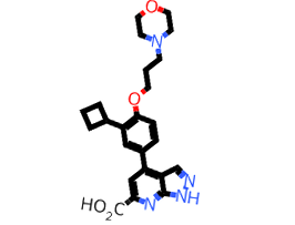 O=C(O)c1cc(-c2ccc(OCCCN3CCOCC3)c(C3CCC3)c2)c2cn[nH]c2n1